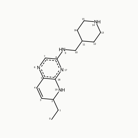 CCC1C=Cc2ncc(NCC3CCNCC3)nc2N1